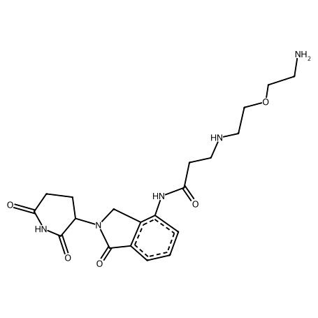 NCCOCCNCCC(=O)Nc1cccc2c1CN(C1CCC(=O)NC1=O)C2=O